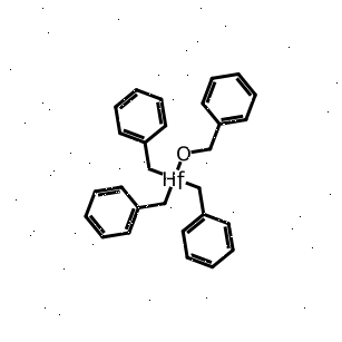 c1ccc(C[O][Hf]([CH2]c2ccccc2)([CH2]c2ccccc2)[CH2]c2ccccc2)cc1